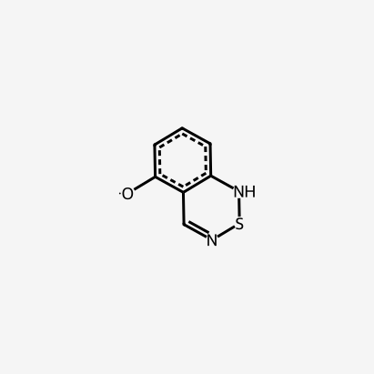 [O]c1cccc2c1C=NSN2